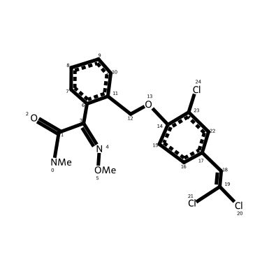 CNC(=O)C(=NOC)c1ccccc1COc1ccc(C=C(Cl)Cl)cc1Cl